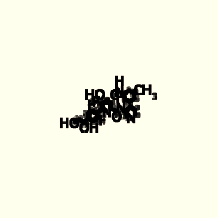 C[C@@H]1CC(NC(=O)O)C[C@H](c2ccncc2NC(=O)c2ccc(F)c(-c3c(F)cc([C@@H](O)CO)cc3F)n2)C1